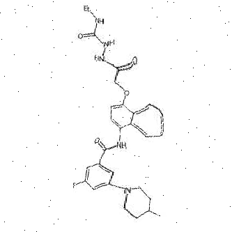 CCNC(=O)NNC(=O)COc1ccc(NC(=O)c2cc(F)cc(N3CCC(C)CC3)c2)c2ccccc12